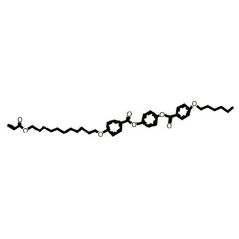 C=CC(=O)OCCCCCCCCCCCOc1ccc(C(=O)Oc2ccc(OC(=O)c3ccc(OCCCCCC)cc3)cc2)cc1